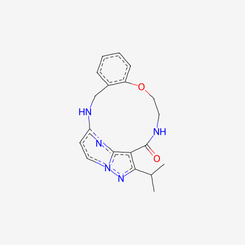 CC(C)c1nn2ccc3nc2c1C(=O)NCCOc1ccccc1CN3